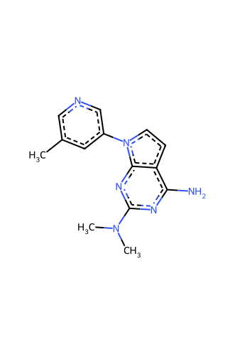 Cc1cncc(-n2ccc3c(N)nc(N(C)C)nc32)c1